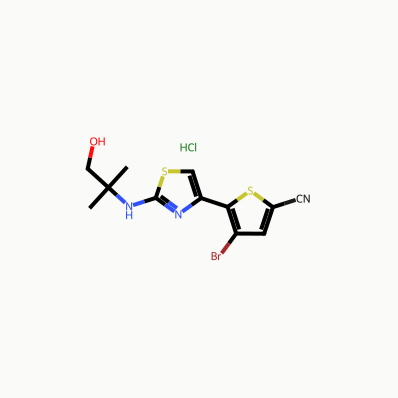 CC(C)(CO)Nc1nc(-c2sc(C#N)cc2Br)cs1.Cl